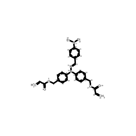 C=CC(=O)OCc1ccc(N(N=Cc2ccc(N(CC)CC)cc2)c2ccc(COC(=O)C=C)cc2)cc1